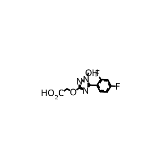 O=C(O)COc1nc(-c2ccc(F)cc2F)n(O)n1